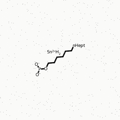 CCCCCCCCCCCCCOP([O-])[O-].[SnH2+2]